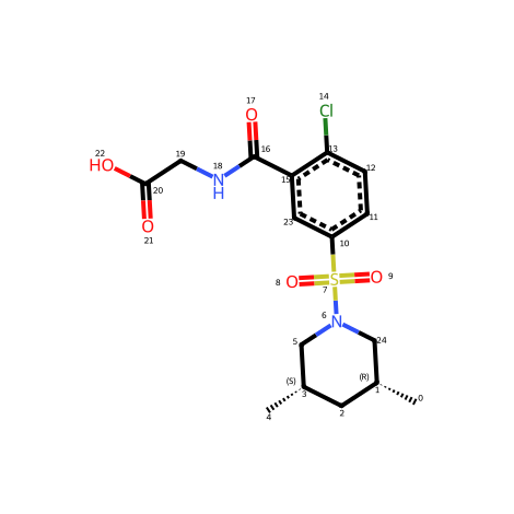 C[C@@H]1C[C@H](C)CN(S(=O)(=O)c2ccc(Cl)c(C(=O)NCC(=O)O)c2)C1